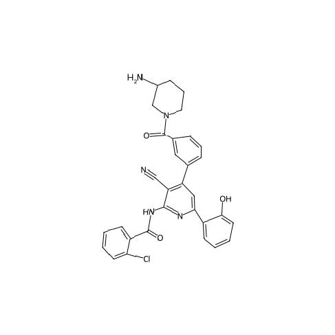 N#Cc1c(-c2cccc(C(=O)N3CCCC(N)C3)c2)cc(-c2ccccc2O)nc1NC(=O)c1ccccc1Cl